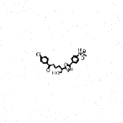 CS(=O)(=O)Nc1ccc(-c2nnc([C@@H](CO)CCCC(=O)c3ccc(Cl)cc3)o2)cc1